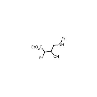 CCNCC(O)C(CC)C(=O)OCC